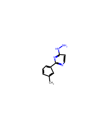 Cc1cccc(-c2nccc(NN)n2)c1